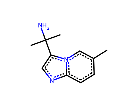 Cc1ccc2ncc(C(C)(C)N)n2c1